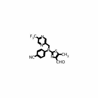 Cc1sc(N(Cc2cnc(C(F)(F)F)cn2)c2ccc(C#N)cc2)nc1C=O